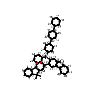 CC1(C)c2ccccc2-c2ccc(-c3cc4c(cc3N(c3ccccc3)c3ccc(-c5ccc(-c6ccccc6)cc5)cc3)oc3ccccc34)cc21